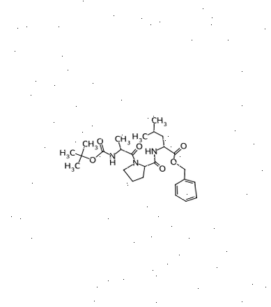 CC(C)CC(NC(=O)C1CCCN1C(=O)C(C)NC(=O)OC(C)(C)C)C(=O)OCc1ccccc1